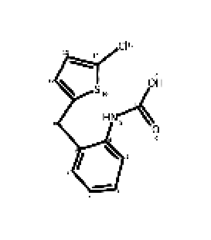 O=C(O)Nc1ccccc1Cc1ccc(Cl)s1